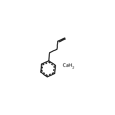 C=CCCc1ccccc1.[CaH2]